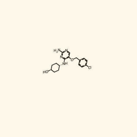 Nc1ncc(OCc2ccc(Cl)cc2)c(N[C@H]2CC[C@H](O)CC2)n1